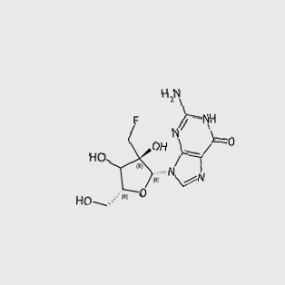 Nc1nc2c(ncn2[C@@H]2O[C@H](CO)C(O)[C@]2(O)CF)c(=O)[nH]1